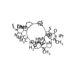 C=CC(=O)N(C)C1CCN(C(=O)N(C)[C@H](C(=O)NC(=S)C2Cc3nc(cs3)-c3ccc4c(c3)c(c(-c3cccnc3[C@H](C=S)OC)n4CC)CC(C)(C)COC(=O)[C@@]3([SiH3])CCCN(N3)C2=O)C(C)C)[C@H]1C